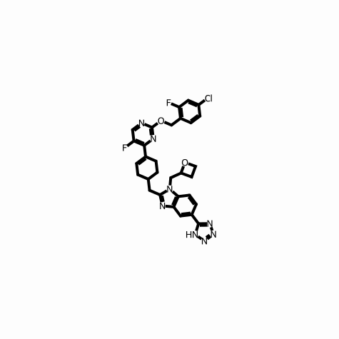 Fc1cc(Cl)ccc1COc1ncc(F)c(C2=CCC(Cc3nc4cc(-c5nnn[nH]5)ccc4n3CC3CCO3)CC2)n1